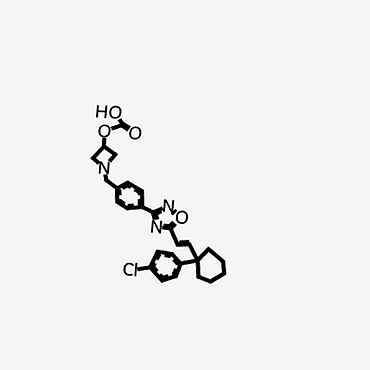 O=C(O)OC1CN(Cc2ccc(-c3noc(/C=C/C4(c5ccc(Cl)cc5)CCCCC4)n3)cc2)C1